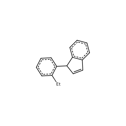 CCc1ccccc1C1C=Cc2ccccc21